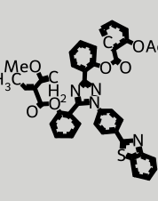 C=C(OC)/C(=C\C)C(=O)Oc1ccccc1-c1nc(-c2ccccc2OC(=O)c2ccccc2OC(C)=O)nn1-c1ccc(-c2nc3ccccc3s2)cc1